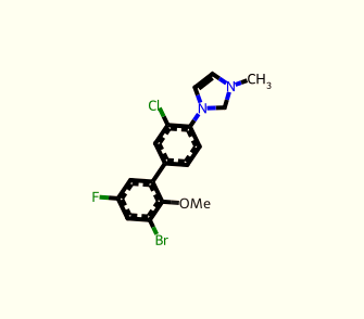 COc1c(Br)cc(F)cc1-c1ccc(N2C=CN(C)C2)c(Cl)c1